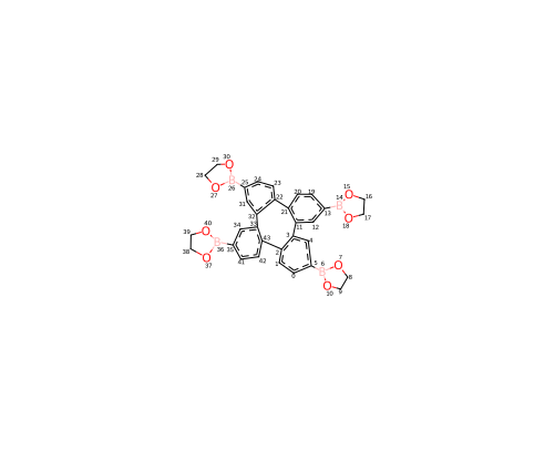 c1cc2c(cc1B1OCCO1)-c1cc(B3OCCO3)ccc1-c1ccc(B3OCCO3)cc1-c1cc(B3OCCO3)ccc1-2